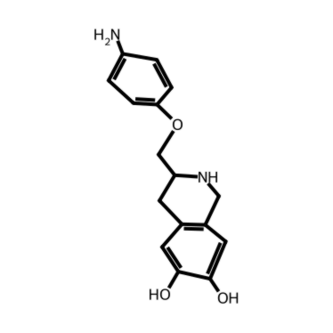 Nc1ccc(OCC2Cc3cc(O)c(O)cc3CN2)cc1